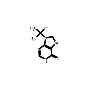 CCC(C)(C)N1CNc2c1nc[nH]c2=O